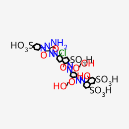 NC(=O)C1=NN(c2ccc(S(=O)(=O)O)cc2)C(=O)C1/N=N/c1ccc2c(O)c(/N=N/c3cc(OCCO)c(/N=N/c4ccc(S(=O)(=O)O)c5cc(S(=O)(=O)O)cc(O)c45)cc3OCCO)c(S(=O)(=O)O)cc2c1Cl